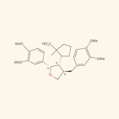 COc1ccc(C[C@H]2CO[C@H](c3ccc(OC)c(OC)c3)[C@@H]2C2CCCC2(C)C(=O)O)cc1OC